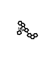 c1ccc2c(c1)ccc1ccc(-c3ccc4c5ccc6ccccc6c5c5nc6ccccc6n5c4c3)cc12